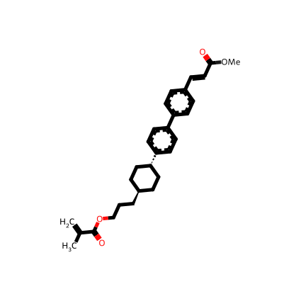 C=C(C)C(=O)OCCC[C@H]1CC[C@H](c2ccc(-c3ccc(/C=C/C(=O)OC)cc3)cc2)CC1